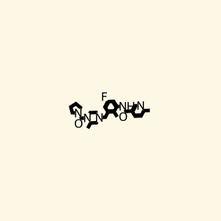 Cc1ccc(C(=O)Nc2cc(F)cc(CN3CCN(C(=O)N4CCCC4)C(C)C3)c2C)cn1